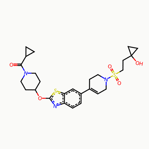 O=C(C1CC1)N1CCC(Oc2nc3ccc(C4=CCN(S(=O)(=O)CCC5(O)CC5)CC4)cc3s2)CC1